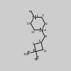 CN1CCN(CC2CC(F)(F)C2)CC1